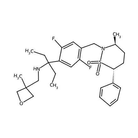 CCC(CC)(NCC1(C)COC1)c1cc(F)c(CN2[C@@H](C)CC[C@H](c3ccccc3)S2(=O)=O)cc1F